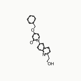 O=c1cc(OCc2ccccc2)ccn1-c1ccc2nc(CCO)ccc2c1